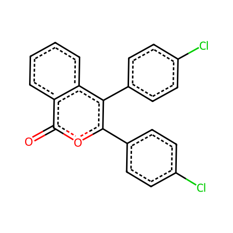 O=c1oc(-c2ccc(Cl)cc2)c(-c2ccc(Cl)cc2)c2ccccc12